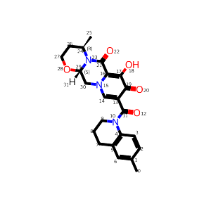 Cc1ccc2c(c1)CCCN2C(=O)c1cn2c(c(O)c1=O)C(=O)N1[C@H](C)CCO[C@H]1C2